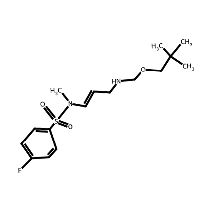 CN(/C=C/CNCOCC(C)(C)C)S(=O)(=O)c1ccc(F)cc1